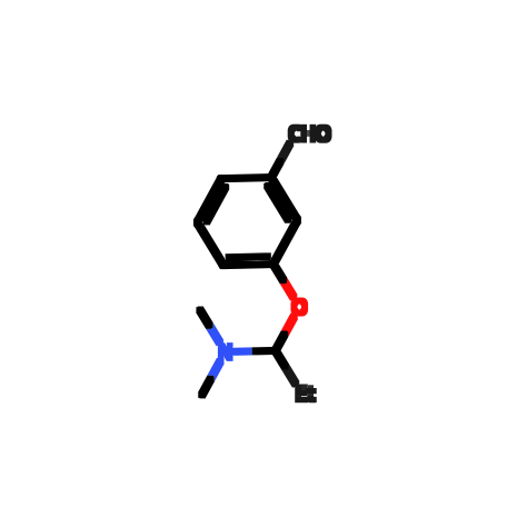 CCC(Oc1cccc(C=O)c1)N(C)C